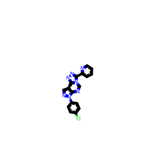 Clc1ccc(-n2ncc3c2ncn2c(-c4ccccn4)nnc32)cc1